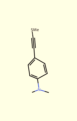 CSC#Cc1ccc(N(C)C)cc1